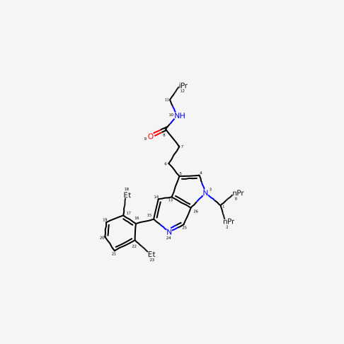 CCCC(CCC)n1cc(CCC(=O)NCC(C)C)c2cc(-c3c(CC)cccc3CC)ncc21